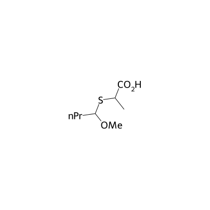 CCCC(OC)SC(C)C(=O)O